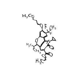 CCOC(=O)c1cc2c(n(C3CC3)c1=O)-c1cc(C(C)(F)F)c(OCCCOC)cc1OC2C(C)C